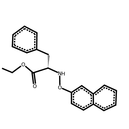 CCOC(=O)[C@H](Cc1ccccc1)NOc1ccc2ccccc2c1